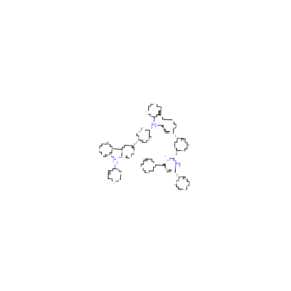 c1ccc(-c2cc(-c3ccccc3)nc(-c3cccc(-c4ccc5c6ccccc6n(-c6ccc(-c7ccc8c(c7)c7ccccc7n8-c7ccccc7)cc6)c5c4)c3)n2)cc1